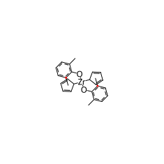 Cc1cccc(C)c1[O][Zr]([O]c1c(C)cccc1C)([CH]1C=CC=C1)[CH]1C=CC=C1